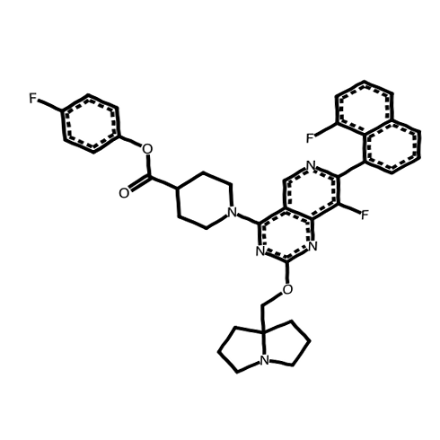 O=C(Oc1ccc(F)cc1)C1CCN(c2nc(OCC34CCCN3CCC4)nc3c(F)c(-c4cccc5cccc(F)c45)ncc23)CC1